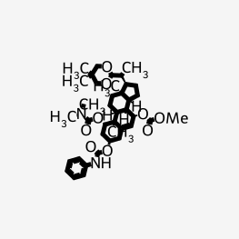 COC(=O)O[C@@H]1C=C2C[C@@H](OC(=O)Nc3ccccc3)C[C@H](OC(=O)N(C)C)[C@]2(C)[C@H]2CC[C@]3(C)[C@@H](C(C)C4OCC(C)(C)CO4)CC[C@H]3[C@H]12